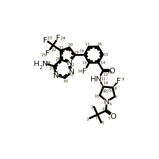 CC(C)(C)C(=O)N1C[C@H](F)[C@H](NC(=O)c2cccc(-c3cc(C(F)(F)F)c4c(N)ncnn34)c2F)C1